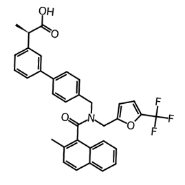 Cc1ccc2ccccc2c1C(=O)N(Cc1ccc(-c2cccc([C@@H](C)C(=O)O)c2)cc1)Cc1ccc(C(F)(F)F)o1